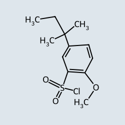 CCC(C)(C)c1ccc(OC)c(S(=O)(=O)Cl)c1